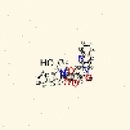 CC[C@@]1(OC(CC(=O)O)N2CCC(Cc3ccccc3)CC2)C(=O)OCc2c1cc1n(c2=O)Cc2cc3ccccc3nc2-1